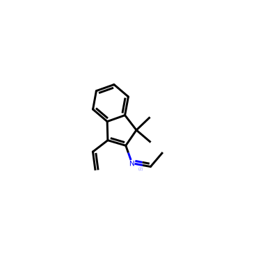 C=CC1=C(/N=C\C)C(C)(C)c2ccccc21